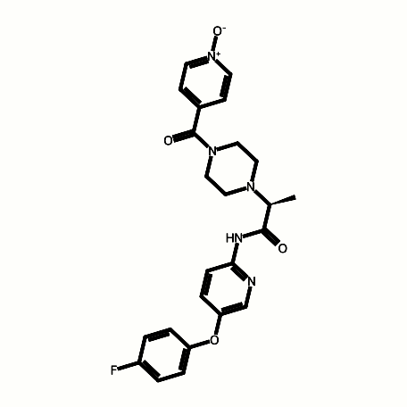 C[C@@H](C(=O)Nc1ccc(Oc2ccc(F)cc2)cn1)N1CCN(C(=O)c2cc[n+]([O-])cc2)CC1